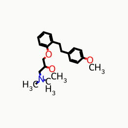 COc1ccc(CCc2ccccc2OCC(CN(C)C)OC)cc1